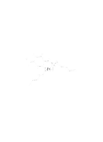 CCCCC[N](CCCCC)[Nd][N](CCCCC)CCCCC.F